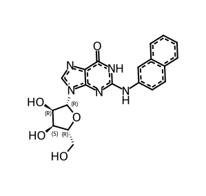 O=c1[nH]c(Nc2ccc3ccccc3c2)nc2c1ncn2[C@@H]1O[C@H](CO)[C@@H](O)[C@H]1O